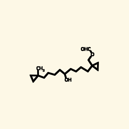 CC1(CCCCC(O)CCCCC2(COC=O)CC2)CC1